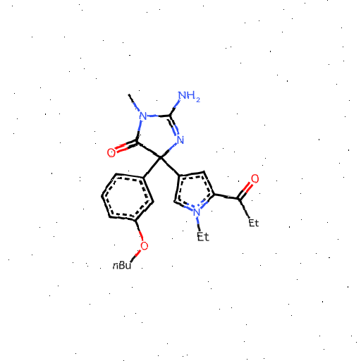 CCCCOc1cccc(C2(c3cc(C(=O)CC)n(CC)c3)N=C(N)N(C)C2=O)c1